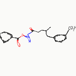 CC(CCC(=O)NOC(=O)c1ccccc1)Cc1cccc(C(=O)O)c1